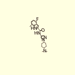 Cc1ccc(F)c2cc(C(=O)Nc3cnn(C4CCC(N(C)C)CC4)c3)[nH]c12